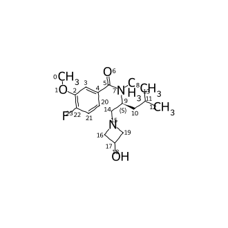 COc1cc(C(=O)N(C)[C@@H](CC(C)C)CN2CC(O)C2)ccc1F